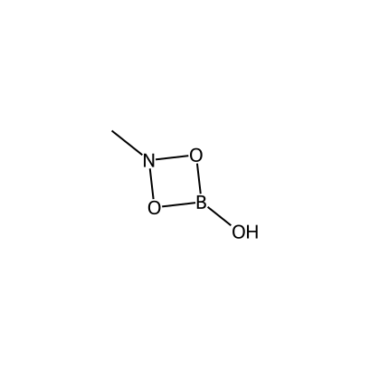 CN1OB(O)O1